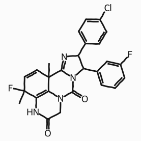 CC1(F)C=CC2(C)C3=NC(c4ccc(Cl)cc4)C(c4cccc(F)c4)N3C(=O)N3CC(=O)NC1=C32